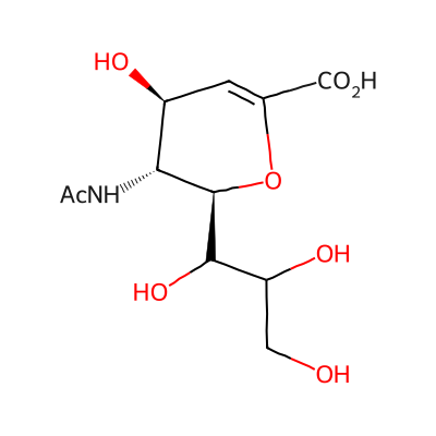 CC(=O)N[C@@H]1[C@@H](O)C=C(C(=O)O)O[C@H]1C(O)C(O)CO